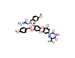 COc1ccc(COc2ccc(Oc3c(Cl)cc(-n4nc(C(F)F)c(=O)[nH]c4=O)cc3Cl)cc2S(=O)(=O)N(CC(N)=O)Cc2ccc(OC)cc2)cc1